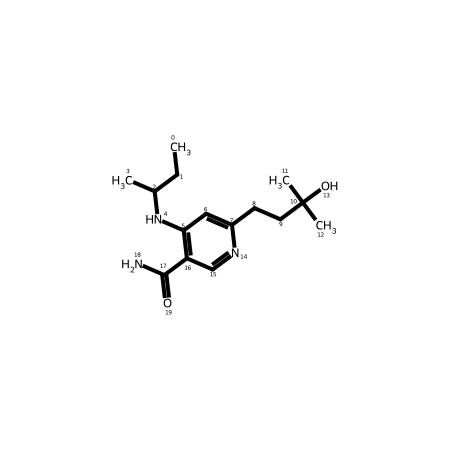 CCC(C)Nc1cc(CCC(C)(C)O)ncc1C(N)=O